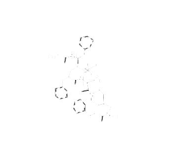 CCCC[Si](C)(C)OC(CC(Cc1ccccc1)C(=O)NC(C(=O)N1CCC(CN(C)C(=O)OCc2ccccc2)CC1)C(C)C)C(Cc1ccccc1)NC(=O)OC(C)(C)C